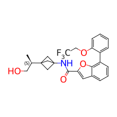 C[C@H](CO)C12CC(NC(=O)c3cc4cccc(-c5ccccc5OCC(F)(F)F)c4o3)(C1)C2